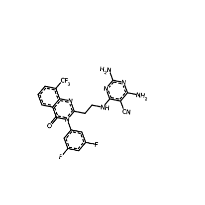 N#Cc1c(N)nc(N)nc1NCCc1nc2c(C(F)(F)F)cccc2c(=O)n1-c1cc(F)cc(F)c1